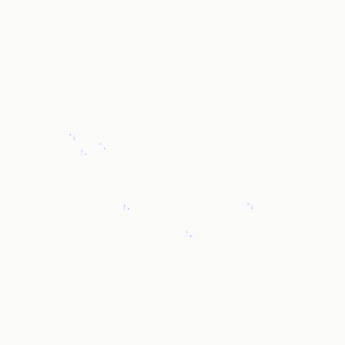 c1ccc(-c2nnn(-c3cccc4c3c3ccccc3n4-c3cccc(-n4c5ccccc5c5c4ccc4c6ccccc6n(-c6ccccc6)c45)c3)c2-c2ccccc2)cc1